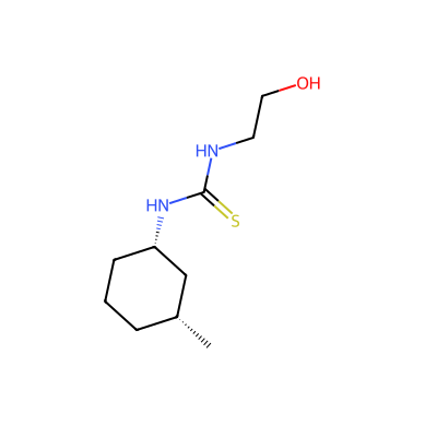 C[C@@H]1CCC[C@H](NC(=S)NCCO)C1